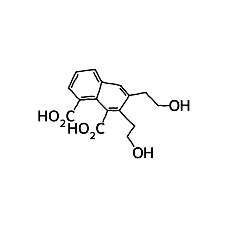 O=C(O)c1cccc2cc(CCO)c(CCO)c(C(=O)O)c12